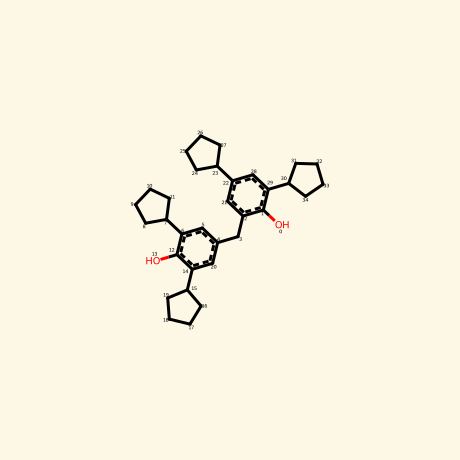 Oc1c(Cc2cc(C3CCCC3)c(O)c(C3CCCC3)c2)cc(C2CCCC2)cc1C1CCCC1